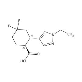 CCn1cc([C@H]2CC(F)(F)CC[C@@H]2C(=O)O)cn1